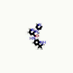 CN(c1ccncc1)c1ncccc1C(=O)Nc1ccc2c(c1)NCC2(C)C